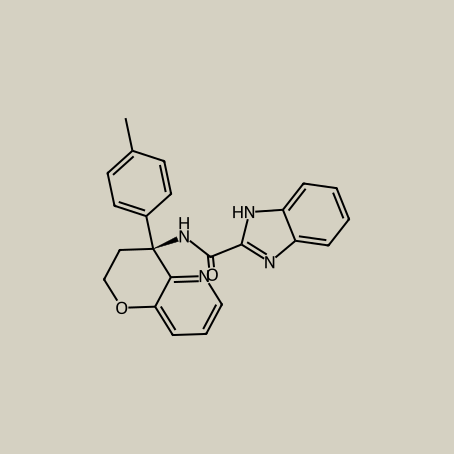 Cc1ccc([C@@]2(NC(=O)c3nc4ccccc4[nH]3)CCOc3cccnc32)cc1